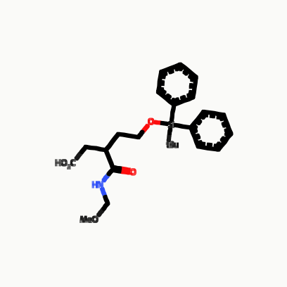 COCNC(=O)C(CCO[Si](c1ccccc1)(c1ccccc1)C(C)(C)C)CC(=O)O